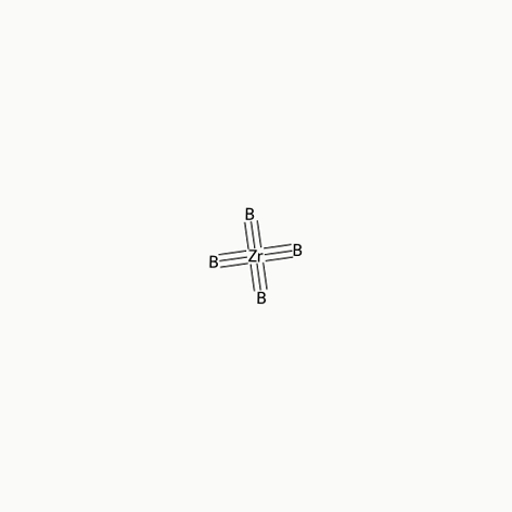 [B]#[Zr](#[B])(#[B])#[B]